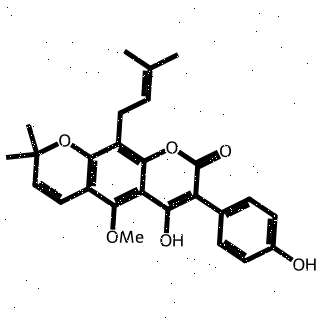 COc1c2c(c(CC=C(C)C)c3oc(=O)c(-c4ccc(O)cc4)c(O)c13)OC(C)(C)C=C2